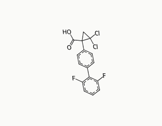 O=C(O)C1(c2ccc(-c3c(F)cccc3F)cc2)CC1(Cl)Cl